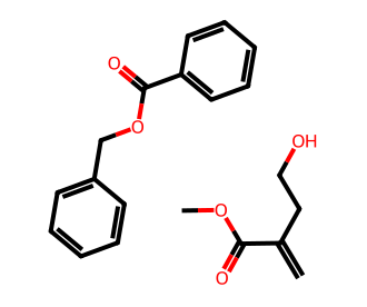 C=C(CCO)C(=O)OC.O=C(OCc1ccccc1)c1ccccc1